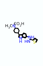 CN(C(=O)O)C1CCC(c2c[nH]c3cc(NC(=N)c4cccs4)ccc23)CC1